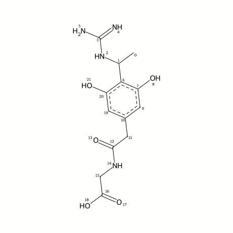 CC(NC(=N)N)c1c(O)cc(CC(=O)NCC(=O)O)cc1O